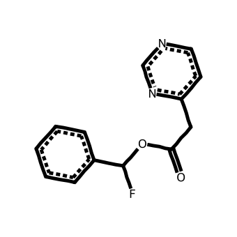 O=C(Cc1ccncn1)OC(F)c1ccccc1